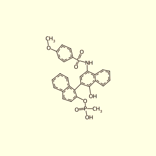 COc1ccc(S(=O)(=O)Nc2cc(-c3c(OP(C)(=O)O)ccc4ccccc34)c(O)c3ccccc23)cc1